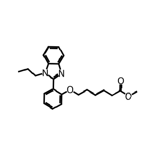 CCCn1c(-c2ccccc2OCCCCCC(=O)OC)nc2ccccc21